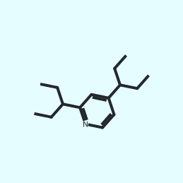 CCC(CC)c1ccnc(C(CC)CC)c1